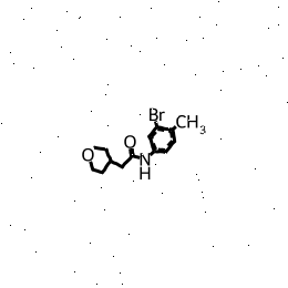 Cc1ccc(NC(=O)CC2CCOCC2)cc1Br